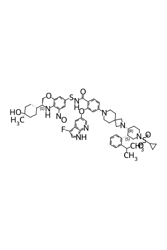 CC(C)c1ccccc1[C@H]1CN(S(=O)(=O)C2CC2)CC[C@H]1N1CC2(CCN(c3ccc(C(=O)NSc4cc(N=O)c5c(c4)OC[C@H]([C@H]4CC[C@](C)(O)CC4)N5)c(Oc4cnc5[nH]cc(F)c5c4)c3)CC2)C1